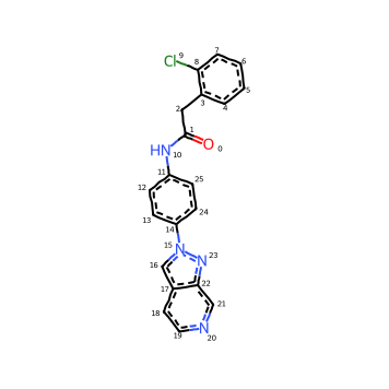 O=C(Cc1ccccc1Cl)Nc1ccc(-n2cc3ccncc3n2)cc1